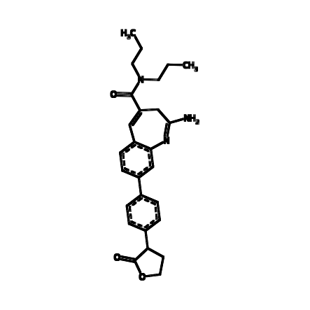 CCCN(CCC)C(=O)C1=Cc2ccc(-c3ccc(C4CCOC4=O)cc3)cc2N=C(N)C1